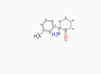 Cc1cccc(C2(N)CCCCC2=O)c1